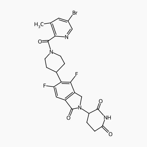 Cc1cc(Br)cnc1C(=O)N1CCC(c2c(F)cc3c(c2F)CN(C2CCC(=O)NC2=O)C3=O)CC1